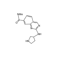 CNC(=O)c1ccc2cnc(NC3CCNC3)nc2c1